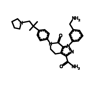 CC(C)(CN1CCCC1)c1ccc(N2CCc3c(C(N)=O)nn(-c4cccc(CN)c4)c3C2=O)cc1